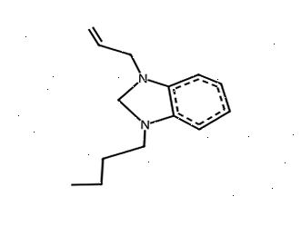 C=CCN1CN(CCCC)c2ccccc21